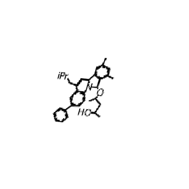 Cc1cc(C)c2c(c1)C1C=C(CC(C)C)c3cc(-c4ccccc4)ccc3N1[C@@H]2OC(C)CC(C)O